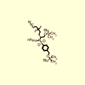 CCCCCN([C@@H](CCC(F)(F)CN=[N+]=[N-])CO[Si](C)(C)C(C)(C)C)S(=O)(=O)c1ccc(CO[Si](C)(C)C(C)(C)C)cc1